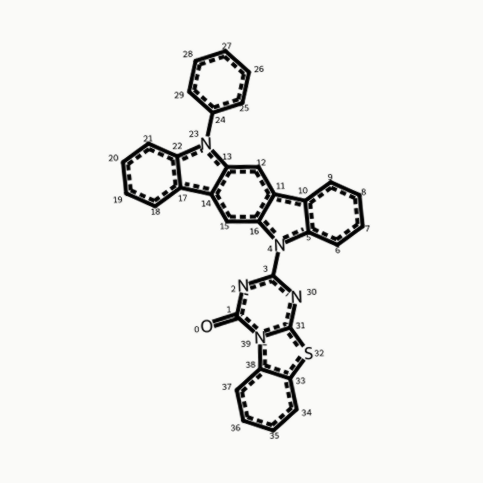 O=c1nc(-n2c3ccccc3c3cc4c(cc32)c2ccccc2n4-c2ccccc2)nc2sc3ccccc3n12